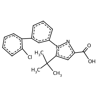 CC(C)(C)c1cc(C(=O)O)nn1-c1cccc(-c2ccccc2Cl)c1